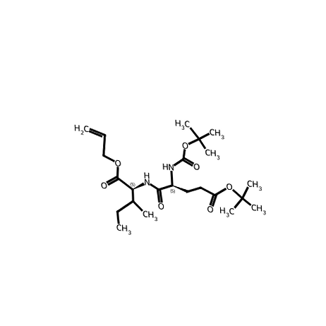 C=CCOC(=O)[C@@H](NC(=O)[C@H](CCC(=O)OC(C)(C)C)NC(=O)OC(C)(C)C)C(C)CC